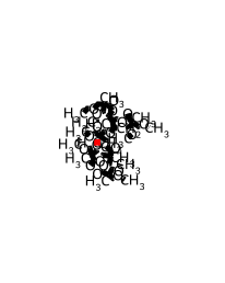 C=C(OCC(C)(COC(=O)C(C)(COC(=O)C(C)(COC)COC)COC(=O)C(C)(COC)COC)C(=O)OC)C(C)(COC(=O)C(C)(COC)COC)COC(=O)C(C)(COCC)COCC